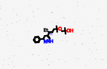 CC/C(=C\CC(C)(C)OCC(C)(C)O)C1=CNN=C(c2ccccc2)C1